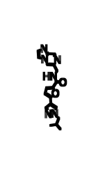 CC(C)Cn1cc(-c2ccc(C(=O)NCc3cn4ccnc4cn3)o2)cn1